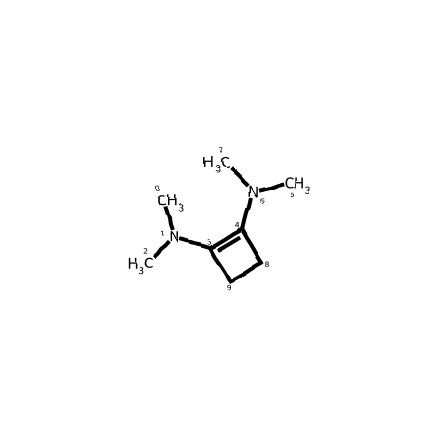 CN(C)C1=C(N(C)C)CC1